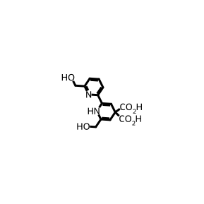 O=C(O)C1(C(=O)O)C=C(CO)NC(c2cccc(CO)n2)=C1